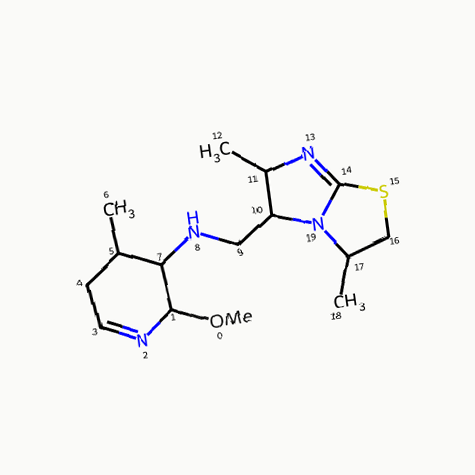 COC1N=CCC(C)C1NCC1C(C)N=C2SCC(C)N21